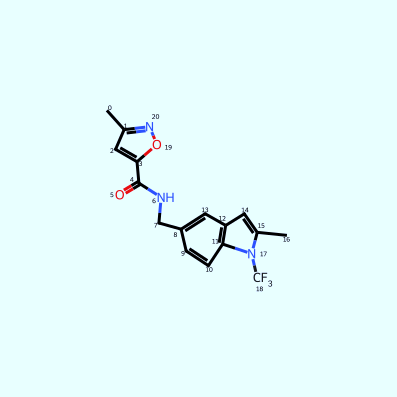 Cc1cc(C(=O)NCc2ccc3c(c2)cc(C)n3C(F)(F)F)on1